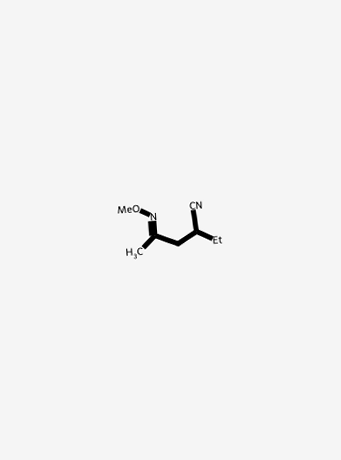 CCC(C#N)CC(C)=NOC